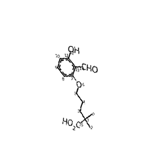 CC(C)(CCCOc1cccc(O)c1C=O)C(=O)O